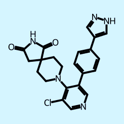 O=C1CC2(CCN(c3c(Cl)cncc3-c3ccc(-c4cn[nH]c4)cc3)CC2)C(=O)N1